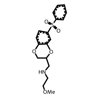 COCCNCC1COc2ccc(S(=O)(=O)c3ccccc3)cc2O1